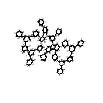 c1ccc(-c2cc(-c3ccccc3)cc(-c3cccc(-c4nc(-c5ccccc5)nc(-c5cccc(-c6cccc7c6c6cc(-c8ccccc8)ccc6n7-c6nc(-c7ccccc7)nc(-n7c8ccc(-c9ccccc9)cc8c8c(-c9cccc(-c%10nc(-c%11ccccc%11)nc(-c%11cccc(-c%12cc(-c%13ccccc%13)cc(-c%13ccccc%13)c%12)c%11)n%10)c9)cccc87)n6)c5)n4)c3)c2)cc1